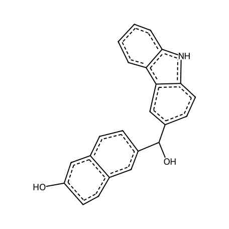 Oc1ccc2cc(C(O)c3ccc4[nH]c5ccccc5c4c3)ccc2c1